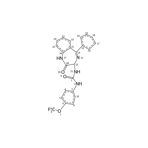 O=C(Nc1ccc(OC(F)(F)F)cc1)NC1N=C(c2ccccc2)c2ccccc2NC1=O